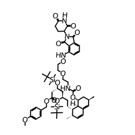 COc1ccc(COC(=O)C[C@@H](C[C@@H](CC[C@@H]2[C@@H]3C(=C[C@H](C)C[C@@H]3OC(=O)NCCOCCONc3cccc4c3C(=O)N(C3CCC(=O)NC3=O)C4=O)C=C[C@@H]2C)O[Si](C)(C)C(C)(C)C)O[Si](C)(C)C(C)(C)C)cc1